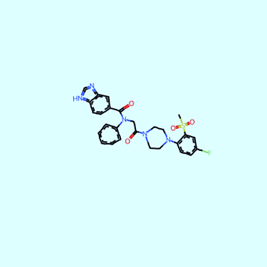 CS(=O)(=O)c1cc(F)ccc1N1CCN(C(=O)CN(C(=O)c2ccc3[nH]cnc3c2)c2ccccc2)CC1